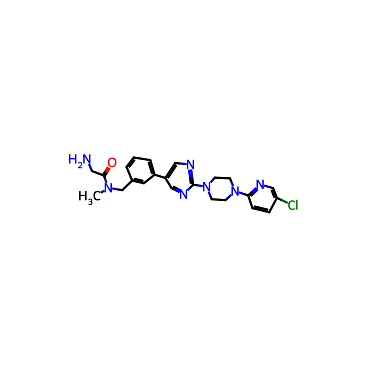 CN(Cc1cccc(-c2cnc(N3CCN(c4ccc(Cl)cn4)CC3)nc2)c1)C(=O)CN